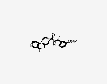 COc1cccc([C@@H](C)NC(=O)N2CCN(c3ccncc3F)[C@H](C)C2)c1